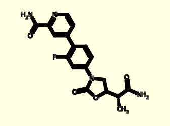 C[C@H](C(N)=O)C1CN(c2ccc(-c3ccnc(C(N)=O)c3)c(F)c2)C(=O)O1